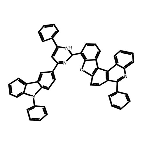 C1=C(c2ccccc2)NC(c2cccc3c2oc2ccc4c(-c5ccccc5)nc5ccccc5c4c23)N=C1c1ccc2c(c1)c1ccccc1n2-c1ccccc1